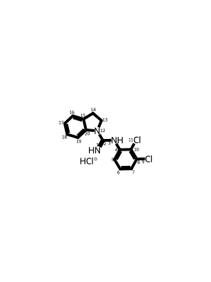 Cl.N=C(Nc1cccc(Cl)c1Cl)N1CCc2ccccc21